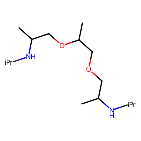 CC(C)NC(C)COCC(C)OCC(C)NC(C)C